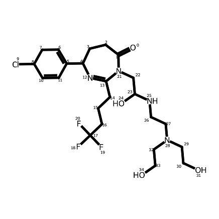 O=C1CCC(C2=CCC(Cl)C=C2)N=C(CCCC(F)(F)F)N1CC(O)NCCN(CCO)CCO